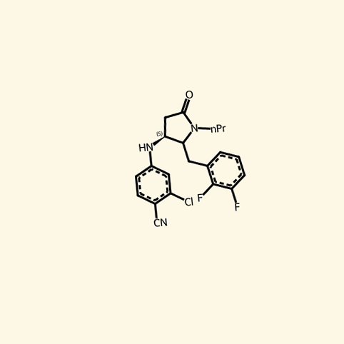 CCCN1C(=O)C[C@H](Nc2ccc(C#N)c(Cl)c2)C1Cc1cccc(F)c1F